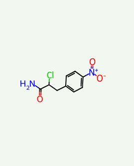 NC(=O)C(Cl)Cc1ccc([N+](=O)[O-])cc1